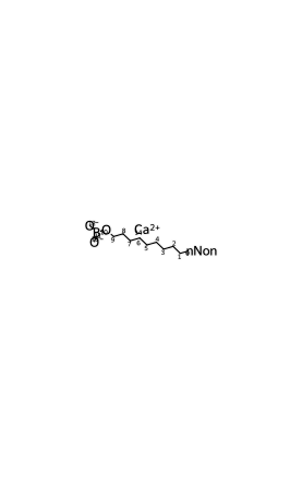 CCCCCCCCCCCCCCCCCCOB([O-])[O-].[Ca+2]